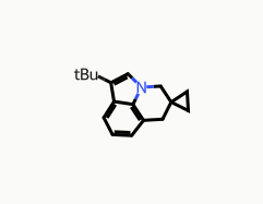 CC(C)(C)c1cn2c3c(cccc13)CC1(CC1)C2